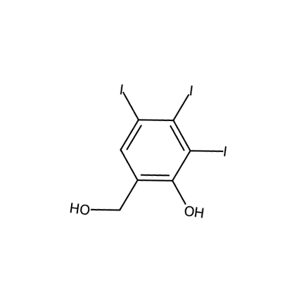 OCc1cc(I)c(I)c(I)c1O